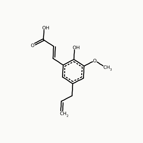 C=CCc1cc(C=CC(=O)O)c(O)c(OC)c1